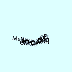 CC[C@@H]1Oc2ccc(CN3CC=C(c4ccc(C(=O)NC)nc4)CC3)cc2NC1=O